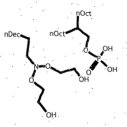 CCCCCCCCC(CCCCCCCC)COP(=O)(O)O.CCCCCCCCCCCCN(OCCO)OCCO